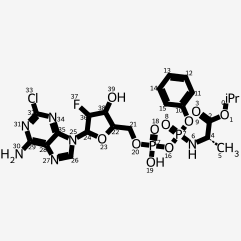 CC(C)OC(=O)[C@H](C)NP(=O)(Oc1ccccc1)OP(=O)(O)OCC1OC(n2cnc3c(N)nc(Cl)nc32)C(F)C1O